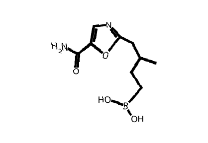 CC(CCB(O)O)Cc1ncc(C(N)=O)o1